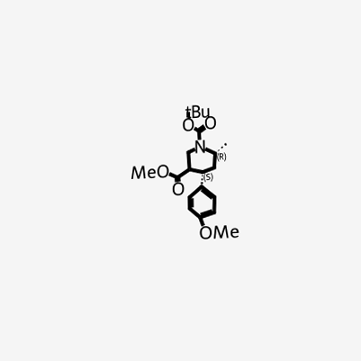 COC(=O)C1CN(C(=O)OC(C)(C)C)[C@H](C)C[C@@H]1c1ccc(OC)cc1